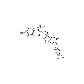 Cc1c(CN2CCc3cc(NC(=O)CC(C)(C)C)ccc32)cnn1-c1ccc(F)cc1